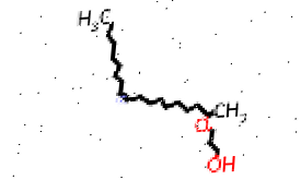 C=C(CCCCCCC/C=C\CCCCCCCC)OCCCO